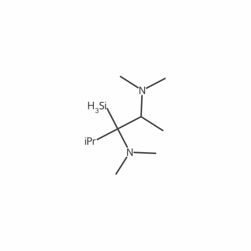 CC(C)C([SiH3])(C(C)N(C)C)N(C)C